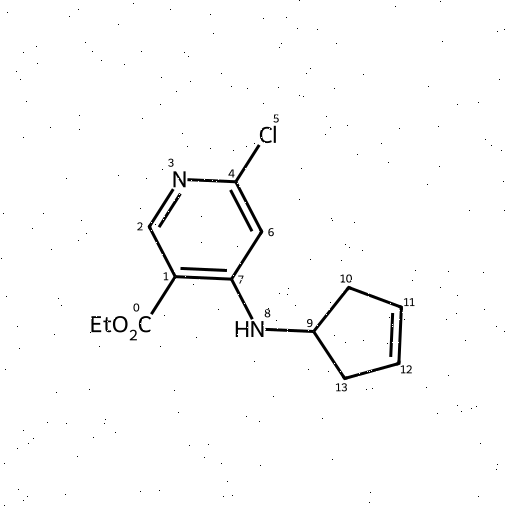 CCOC(=O)c1cnc(Cl)cc1NC1CC=CC1